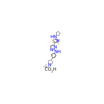 Cc1nc(NC2CCCC2)sc1-c1ccnc(Nc2ccc(C3CCN(CC(C)(C)C(=O)O)CC3)cc2)n1